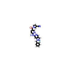 N#CC1CCN(C(=O)c2ccc(Nc3cc4c(cn3)cnn4Cc3ccccc3F)nc2)C1